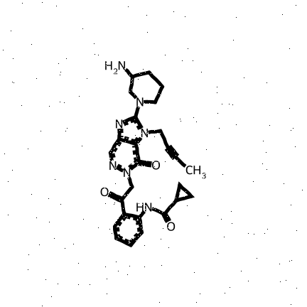 CC#CCn1c(N2CCCC(N)C2)nc2cnn(CC(=O)c3ccccc3NC(=O)C3CC3)c(=O)c21